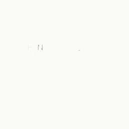 CCCCC(CN)(CCC)CCCC